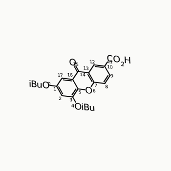 CC(C)COc1cc(OCC(C)C)c2oc3ccc(C(=O)O)cc3c(=O)c2c1